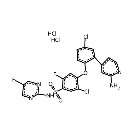 Cl.Cl.Nc1cc(-c2cc(Cl)ccc2Oc2cc(F)c(S(=O)(=O)Nc3ncc(F)cn3)cc2Cl)ccn1